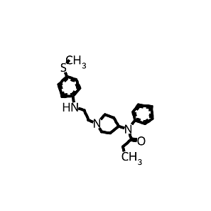 CCC(=O)N(c1ccccc1)C1CCN(CCNc2ccc(SC)cc2)CC1